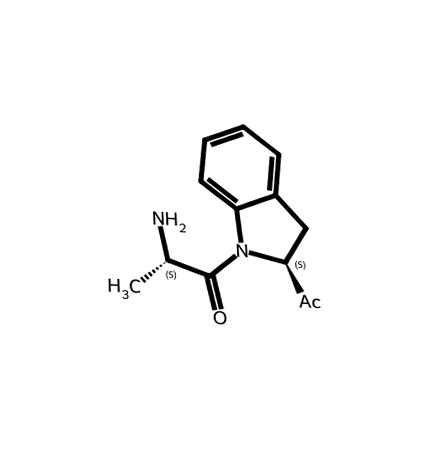 CC(=O)[C@@H]1Cc2ccccc2N1C(=O)[C@H](C)N